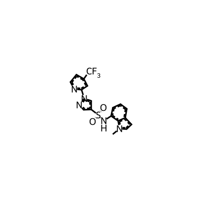 Cn1ccc2cccc(NS(=O)(=O)c3cnn(-c4cc(C(F)(F)F)ccn4)c3)c21